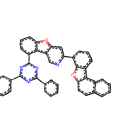 c1ccc(-c2nc(-c3ccccc3)nc(-c3cccc4oc5cc(-c6cccc7c6oc6ccc8ccccc8c67)ncc5c34)n2)cc1